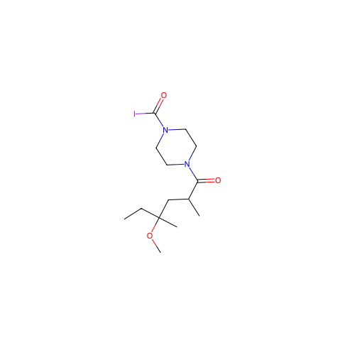 CCC(C)(CC(C)C(=O)N1CCN(C(=O)I)CC1)OC